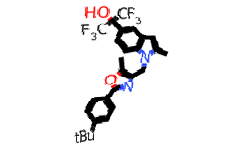 Cc1oc(-c2ccc(C(C)(C)C)cc2)nc1Cn1c(C)cc2cc(C(O)(C(F)(F)F)C(F)(F)F)ccc21